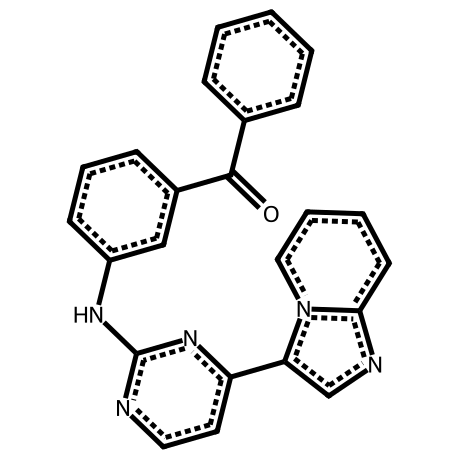 O=C(c1ccccc1)c1cccc(Nc2nccc(-c3cnc4ccccn34)n2)c1